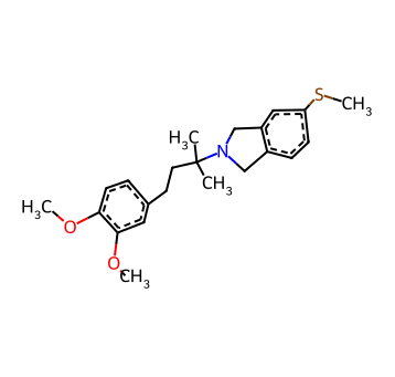 COc1ccc(CCC(C)(C)N2Cc3ccc(SC)cc3C2)cc1OC